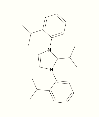 CC(C)c1ccccc1N1C=CN(c2ccccc2C(C)C)C1C(C)C